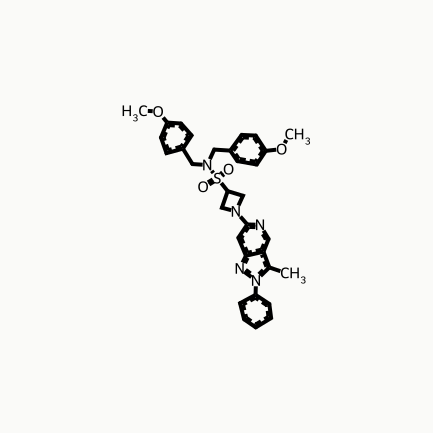 COc1ccc(CN(Cc2ccc(OC)cc2)S(=O)(=O)C2CN(c3cc4nn(-c5ccccc5)c(C)c4cn3)C2)cc1